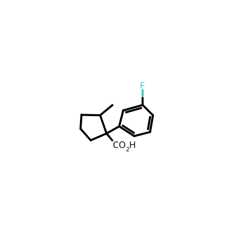 CC1CCCC1(C(=O)O)c1cccc(F)c1